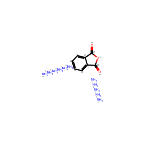 N.N.N.N.N.N.N.N.N.N.N.O=C1OC(=O)c2ccccc21